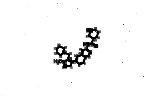 Cn1ncc(-c2ccc3cnc(NC(=O)[C@@H]4CCCNC4)cc3c2)c1CN1CCCCC1